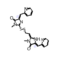 CN1C(=O)/C(=C/c2ccccn2)N=C1SSCC=c1[nH]/c(=C\c2ccccn2)c(=O)n1C